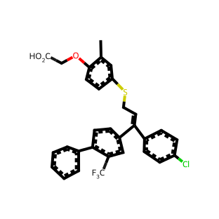 Cc1cc(SCC=C(c2ccc(Cl)cc2)c2ccc(-c3ccccc3)c(C(F)(F)F)c2)ccc1OCC(=O)O